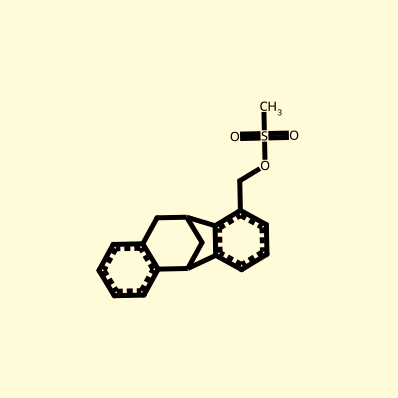 CS(=O)(=O)OCc1cccc2c1C1Cc3ccccc3C2C1